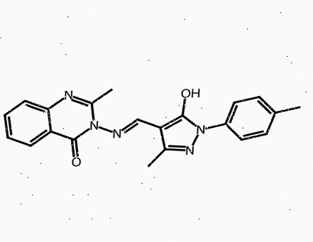 Cc1ccc(-n2nc(C)c(/C=N/n3c(C)nc4ccccc4c3=O)c2O)cc1